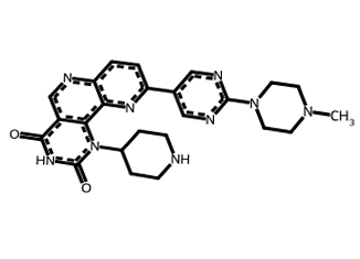 CN1CCN(c2ncc(-c3ccc4ncc5c(=O)[nH]c(=O)n(C6CCNCC6)c5c4n3)cn2)CC1